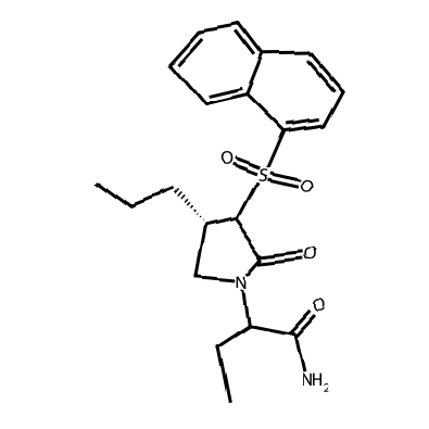 CCC[C@H]1CN(C(CC)C(N)=O)C(=O)C1S(=O)(=O)c1cccc2ccccc12